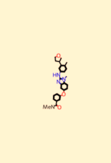 CNC(=O)c1cccc(Oc2ccc3c(c2)nc(Nc2ccc(C)c(C4CCOC4)c2)n3C)c1